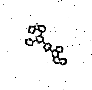 c1ccc(-c2nc(-c3ccc(-c4cc5ccc6ncccc6c5c5ccccc45)cc3)nc(-c3cccc4oc5ccccc5c34)n2)cc1